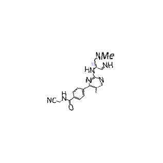 CN/C=C(\C=N)Nc1ncc(C)c(-c2ccc(C(=O)NCC#N)cc2)n1